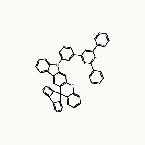 c1ccc(-c2cc(-c3cccc(-n4c5ccccc5c5cc6c(cc54)Oc4ccccc4C64c5ccccc5-c5ccccc54)c3)nc(-c3ccccc3)n2)cc1